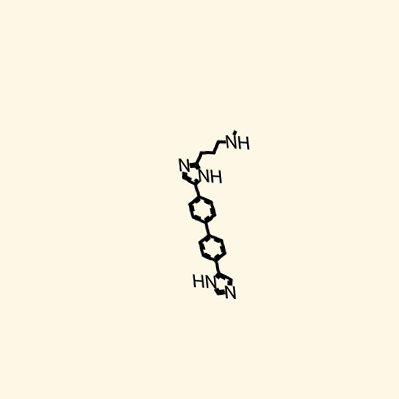 CNCCCc1ncc(-c2ccc(-c3ccc(-c4cnc[nH]4)cc3)cc2)[nH]1